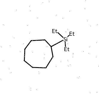 CC[Si](CC)(CC)C1CCCCCCC1